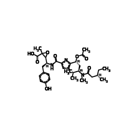 CC[C@H](C)CC(=O)N(C)[C@H](C[C@@H](OC(C)=O)c1nc(C(=O)N[C@@H](Cc2ccc(O)cc2)C2OC2(C)C(=O)O)cs1)C(C)C